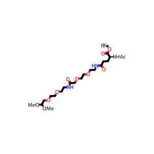 COC(COCCOCCNC(=O)COCCOCCNC(=O)CC[C@H](NC(C)=O)C(=O)OC(C)(C)C)OC